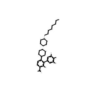 CCCCCCCC[C@H]1CC[C@H](C2CCC(c3ccc(C(=O)O)c(F)c3-c3cc(F)c(F)c(F)c3)CC2)CC1